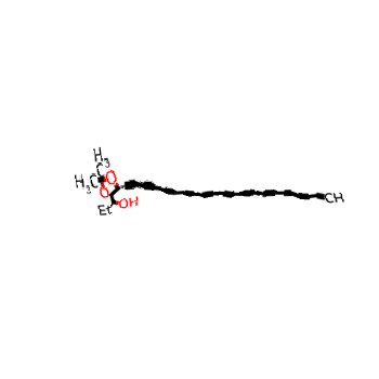 C#CC#CC#CC#CC#CC#CC#CC#CC#CC#CC#C[C@H]1OC(C)(C)O[C@H]1[C@@H](O)CC